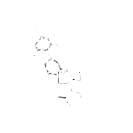 Cc1cc(C)c(-c2ccc([C@H](N([C@@H](CC(C)C)C(N)=O)C3(C#N)CC3)C(F)(F)F)cc2)c(C)c1